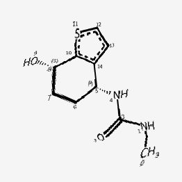 CNC(=O)N[C@@H]1CC[C@H](O)c2sccc21